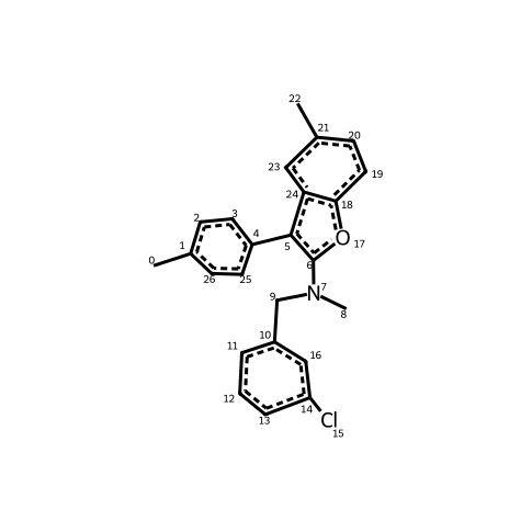 Cc1ccc(-c2c(N(C)Cc3cccc(Cl)c3)oc3ccc(C)cc23)cc1